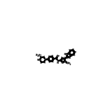 C[C@@H]1CN(c2ccc(C(=O)Nc3cc(-c4nc5ccccc5[nH]4)n(C)n3)cn2)CCN1